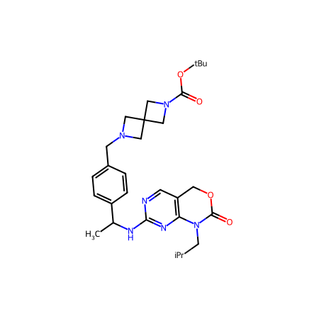 CC(C)CN1C(=O)OCc2cnc(NC(C)c3ccc(CN4CC5(C4)CN(C(=O)OC(C)(C)C)C5)cc3)nc21